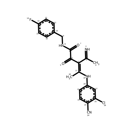 CC(=N)/C(C(=O)C(=O)NCc1ccc(F)cc1)=C(/C)Nc1ccc(C#N)c(Cl)c1